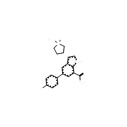 NC(=O)c1cc(-c2ccc(F)cc2)cc2c([C@@H]3CCS(O)(O)C3)c[nH]c12